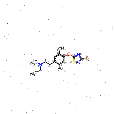 CCN(C)CCc1cc(C)c(Oc2nc(Br)ns2)cc1C